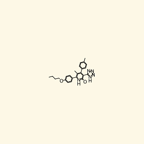 CCCCOc1ccc(-c2[nH]c(=O)c(-c3nnn[nH]3)c(-c3ccc(C)cc3)c2C)cc1